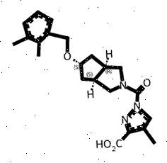 Cc1cn(C(=O)N2C[C@H]3C[C@H](OCc4cccc(C)c4C)C[C@H]3C2)nc1C(=O)O